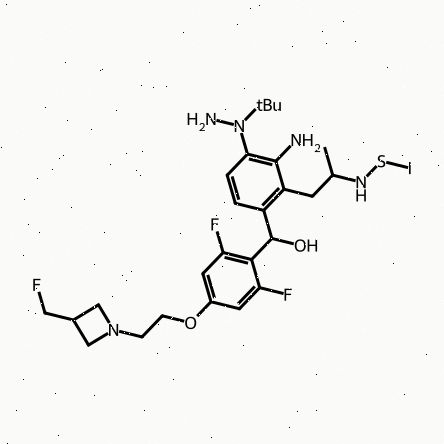 CC(Cc1c(C(O)c2c(F)cc(OCCN3CC(CF)C3)cc2F)ccc(N(N)C(C)(C)C)c1N)NSI